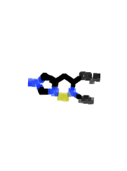 CCCCN(S)C(Cc1c[nH]cn1)C(=O)O